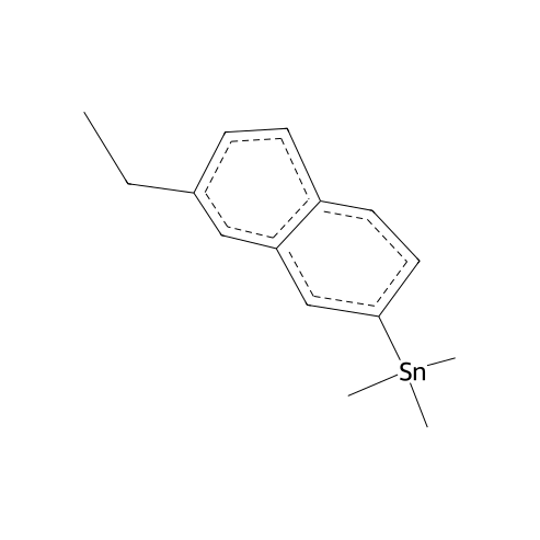 CCc1ccc2cc[c]([Sn]([CH3])([CH3])[CH3])cc2c1